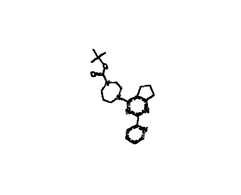 CC(C)(C)OC(=O)N1CCCN(c2nc(-c3ccccn3)nc3c2CCC3)CC1